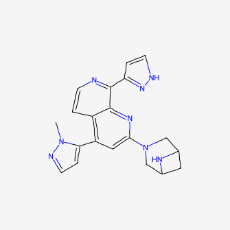 Cn1nccc1-c1cc(N2CC3CC(C2)N3)nc2c(-c3cc[nH]n3)nccc12